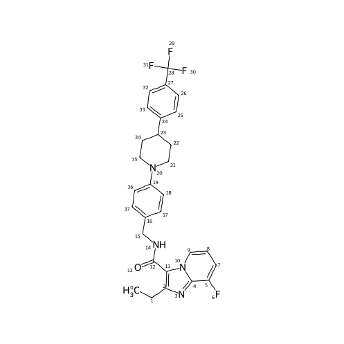 CCc1nc2c(F)cccn2c1C(=O)NCc1ccc(N2CCC(c3ccc(C(F)(F)F)cc3)CC2)cc1